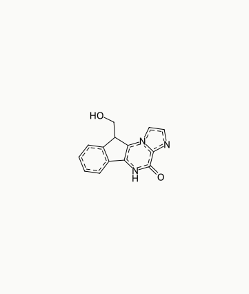 O=c1[nH]c2c(n3ccnc13)C(CO)c1ccccc1-2